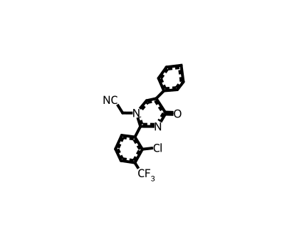 N#CCn1cc(-c2ccccc2)c(=O)nc1-c1cccc(C(F)(F)F)c1Cl